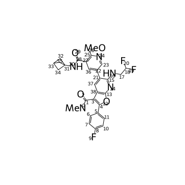 CNC(=O)c1c(-c2ccc(F)cc2)oc2nc(NCC(F)F)c(-c3cnc(OC)c(C(=O)NC45CC(C4)C5)c3)cc12